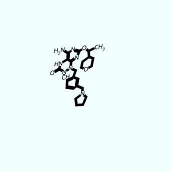 CC(Oc1nc(N)c2c(n1)N(Cc1cccc(CN3CCCC3)c1)N(C)C(=O)N2)C1CCOCC1